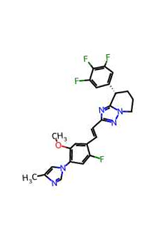 COc1cc(/C=C/c2nc3n(n2)CCC[C@H]3c2cc(F)c(F)c(F)c2)c(F)cc1-n1cnc(C)c1